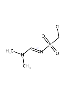 CN(C)/C=N/S(=O)(=O)CCl